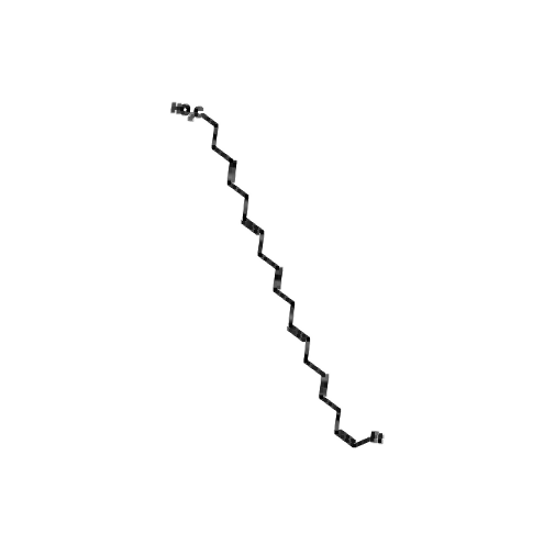 CC/C=C\CC=CCC=CCC=CCC=CCC=CCCC(=O)O